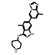 Cc1cc(-c2cc(C)c3ncnn3c2)cc2[nH]nc(OC3CCNCC3)c12